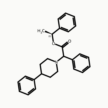 C[C@H](OC(=O)C(c1ccccc1)N1CCC(c2ccccc2)CC1)c1ccccc1